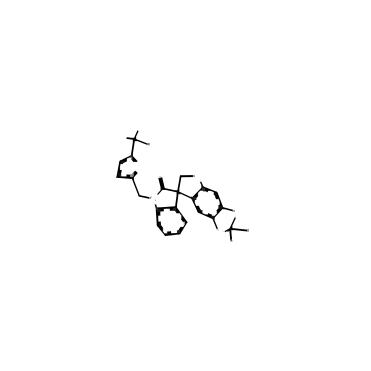 O=C1N(Cc2ccc(C(F)(F)F)o2)c2ccccc2C12COc1cc3c(cc12)OC(F)(F)O3